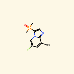 CC(C)(C)c1cc(F)cn2c(P(C)(C)=O)cnc12